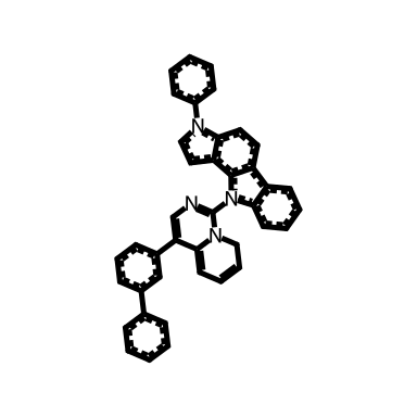 C1=CCN2C(=C1)C(c1cccc(-c3ccccc3)c1)=CN=C2n1c2ccccc2c2ccc3c(ccn3-c3ccccc3)c21